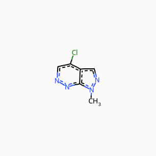 Cn1ncc2c(Cl)cnnc21